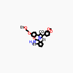 CCOCCOc1ccc(C2C(C(=O)O)C(c3ccc4c(c3)OCO4)CN2C(C(N)=O)c2c(CC)cccc2CC)cc1